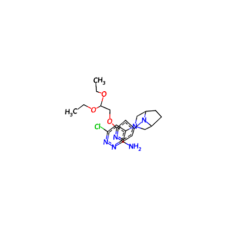 CCOC(COc1cc(N2C3CCC2CN(c2cc(Cl)nnc2N)C3)ccn1)OCC